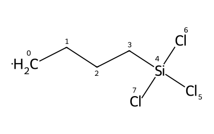 [CH2]CCC[Si](Cl)(Cl)Cl